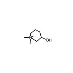 C[N+]1(C)CCCC(O)C1